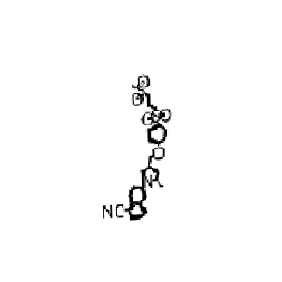 C[C@@H]1C[C@H](COc2ccc(S(=O)(=O)CCCS(C)(=O)=O)cc2)CN1C1CCc2c(C#N)cccc2C1